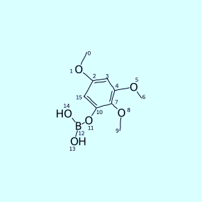 COc1cc(OC)c(OC)c(OB(O)O)c1